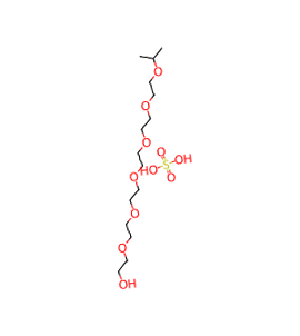 CC(C)OCCOCCOCCOCCOCCOCCO.O=S(=O)(O)O